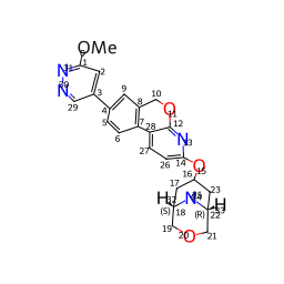 COc1cc(-c2ccc3c(c2)COc2nc(OC4C[C@H]5COC[C@@H](C4)N5C)ccc2-3)cnn1